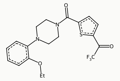 CCOc1ccccc1N1CCN(C(=O)c2ccc(C(=O)C(F)(F)F)s2)CC1